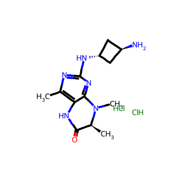 Cc1nc(N[C@H]2C[C@H](N)C2)nc2c1NC(=O)[C@H](C)N2C.Cl.Cl